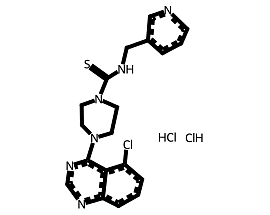 Cl.Cl.S=C(NCc1cccnc1)N1CCN(c2ncnc3cccc(Cl)c23)CC1